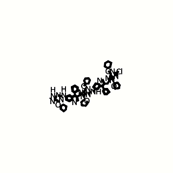 Clc1nc(OC2CCCCC2)c2nc(Cc3cnc4ccc(Nc5nc(OC6CCCCC6)c6nc(-c7cnc8ccc(Nc9nc(OC%10CCCCC%10)c%10nc[nH]c%10n9)cc8c7-c7ccccc7)n(C7CCCCO7)c6n5)cc4c3-c3ccccc3)n(C3CCCCO3)c2n1